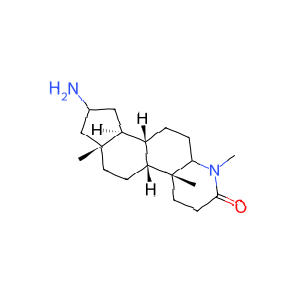 CN1C(=O)CC[C@@]2(C)C1CC[C@@H]1[C@H]2CC[C@]2(C)CC(N)C[C@@H]12